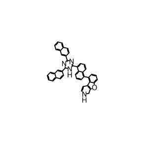 C1=Cc2c(oc3cccc(-c4cccc5c(C6=NC(c7ccc8ccccc8c7)=NC(c7ccc8ccccc8c7)N6)cccc45)c23)CN1